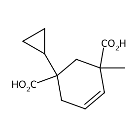 CC1(C(=O)O)C=CCC(C(=O)O)(C2CC2)C1